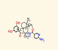 C[C@@H]1[C@H](NC(=O)c2ccc(N)nc2)C[C@H]2C(C)(C)CCC[C@]2(C)[C@H]1C(=O)c1cc(O)cc(O)c1